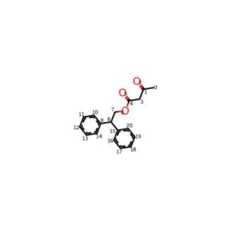 CC(=O)CC(=O)OCC(c1ccccc1)c1ccccc1